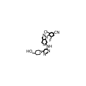 N#Cc1cc(F)c(-n2ncc3cnc(Nc4cc(N5CCC(CO)CC5)ncn4)cc32)c(Cl)c1